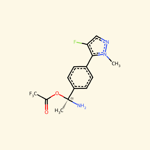 Cn1ncc(F)c1-c1ccc([C@@](C)(N)OC(=O)C(F)(F)F)cc1